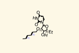 C/C=C/C=C/CO[C@H]1C(O)[C@@H](CC)O[C@H]1n1ccc(=O)[nH]c1=O